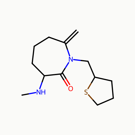 C=C1CCCC(NC)C(=O)N1CC1CCCS1